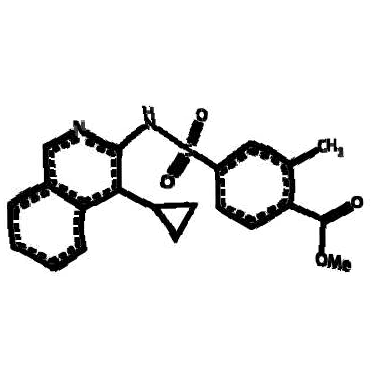 COC(=O)c1ccc(S(=O)(=O)Nc2ncc3ccccc3c2C2CC2)cc1C